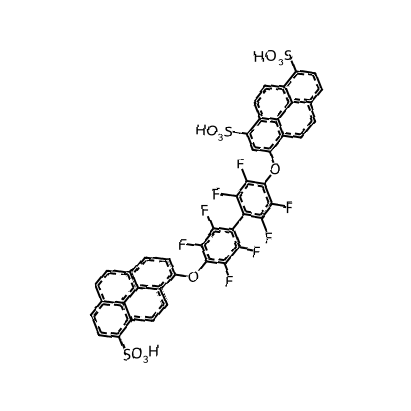 O=S(=O)(O)c1ccc2ccc3ccc(Oc4c(F)c(F)c(-c5c(F)c(F)c(Oc6cc(S(=O)(=O)O)c7ccc8c(S(=O)(=O)O)ccc9ccc6c7c98)c(F)c5F)c(F)c4F)c4ccc1c2c34